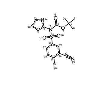 CC(C)(C)OC(=O)N(c1cscn1)S(=O)(=O)c1ccc(F)c(C#N)c1